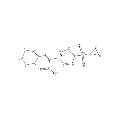 O=C(O)C(CC1CCOCC1)c1ccc(S(=O)(=O)C2CC2)cc1